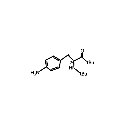 CC(C)(C)N[C@@H](Cc1ccc(N)cc1)C(=O)C(C)(C)C